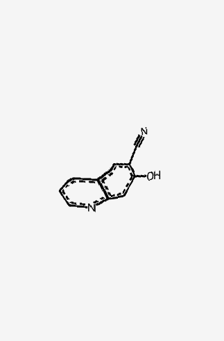 N#Cc1cc2cccnc2cc1O